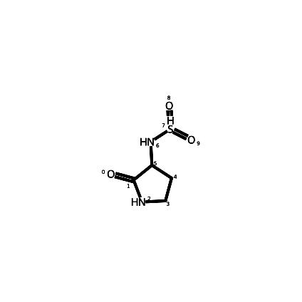 O=C1NCCC1N[SH](=O)=O